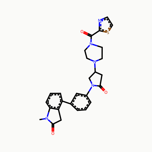 CN1C(=O)Cc2c(-c3cccc(N4CC(N5CCN(C(=O)c6nccs6)CC5)CC4=O)c3)cccc21